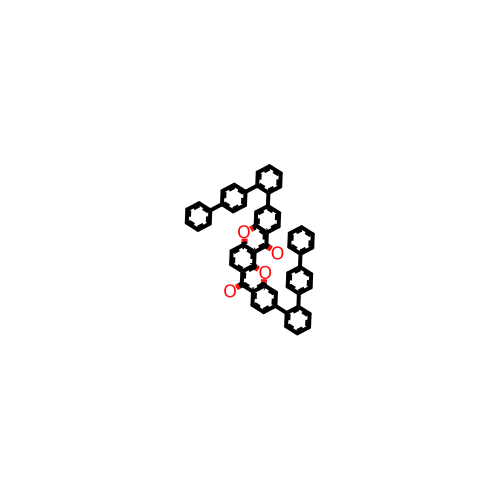 O=c1c2ccc(-c3ccccc3-c3ccc(-c4ccccc4)cc3)cc2oc2c1ccc1oc3cc(-c4ccccc4-c4ccc(-c5ccccc5)cc4)ccc3c(=O)c12